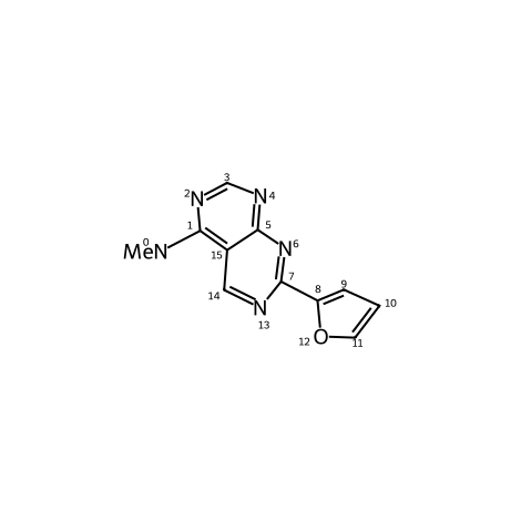 CNc1ncnc2nc(-c3ccco3)ncc12